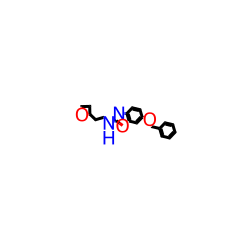 c1ccc(COc2ccc3nc(NCCC4CCO4)oc3c2)cc1